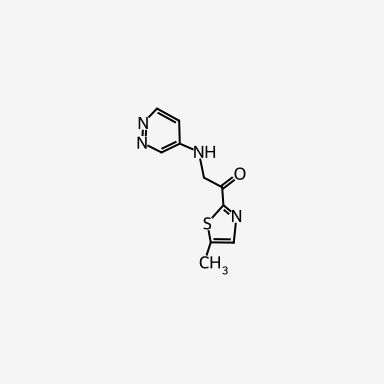 Cc1cnc(C(=O)CNc2ccnnc2)s1